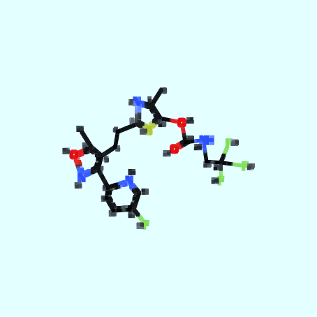 Cc1nc(CCc2c(-c3ccc(F)cn3)noc2C)sc1OC(=O)NCC(F)(F)F